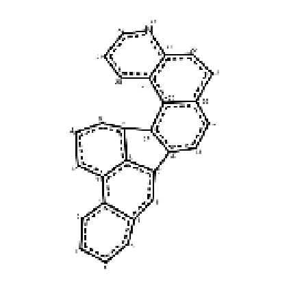 c1ccc2c(c1)cc1c3c(cccc32)-c2c-1ccc1ccc3ncccc3c21